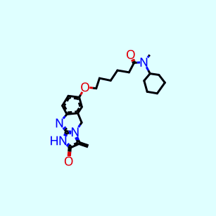 C=c1c(=O)[nH]c2n1Cc1cc(OCCCCCC(=O)N(C)C3CCCCC3)ccc1N=2